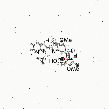 CON=C1C[C@@H]2CN(C(=O)c3cc(OC)c4c(c3)nc(-c3cc5cccnc5n3CC3CC3)n4C)[C@H]1[C@@H]2NC(=O)O